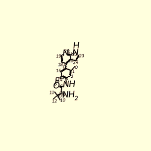 Cc1cc(NC(=O)[C@H](N)C(C)(C)C)c(F)cc1-c1ccnc2[nH]ccc12